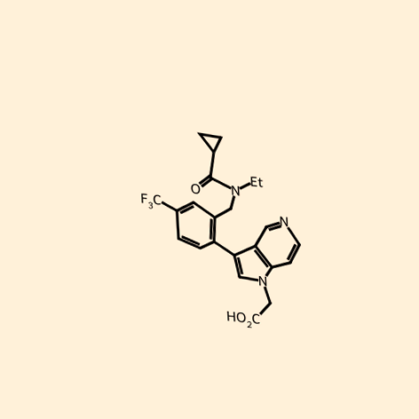 CCN(Cc1cc(C(F)(F)F)ccc1-c1cn(CC(=O)O)c2ccncc12)C(=O)C1CC1